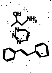 C(=Cc1ccccc1)c1ccccc1.CC(O)CN.c1cnnnc1